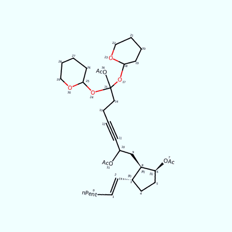 CCCCCC=C[C@H]1CC[C@H](OC(C)=O)[C@@H]1CC(C#CCCC(OC(C)=O)(OC1CCCCO1)OC1CCCCO1)OC(C)=O